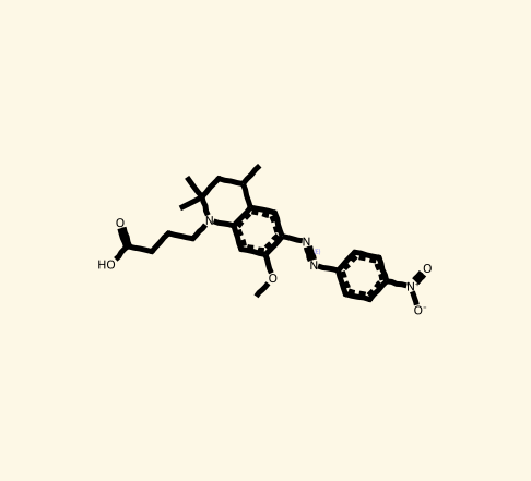 COc1cc2c(cc1/N=N/c1ccc([N+](=O)[O-])cc1)C(C)CC(C)(C)N2CCCC(=O)O